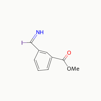 COC(=O)c1cccc(C(=N)I)c1